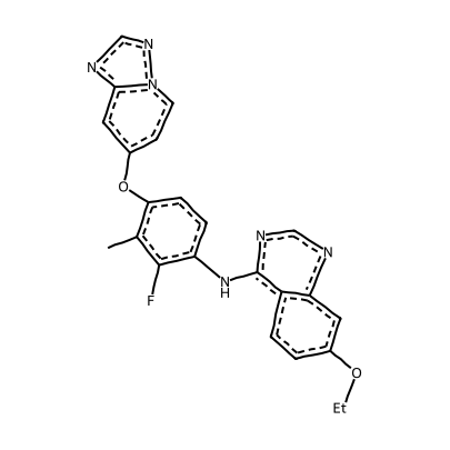 CCOc1ccc2c(Nc3ccc(Oc4ccn5ncnc5c4)c(C)c3F)ncnc2c1